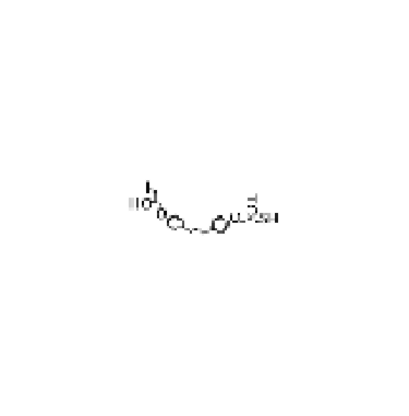 OC(CS)COc1ccc(CCCc2ccc(OCC(O)CI)cc2)cc1